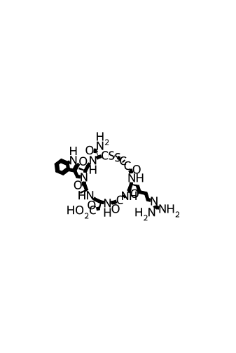 C[C@@H]1NC(=O)[C@H](CC(=O)O)NC(=O)CNC(=O)[C@H](CCCCN=C(N)N)NC(=O)CCSSC[C@@H](C(N)=O)NC(=O)[C@H](C)N(Cc2c[nH]c3ccccc23)C1=O